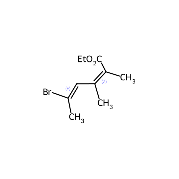 CCOC(=O)/C(C)=C(C)\C=C(/C)Br